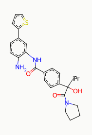 CC(C)C(O)(C(=O)N1CCCC1)c1ccc(C(=O)Nc2cc(-c3cccs3)ccc2N)cc1